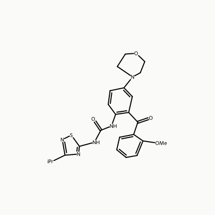 COc1ccccc1C(=O)c1cc(N2CCOCC2)ccc1NC(=O)Nc1nc(C(C)C)ns1